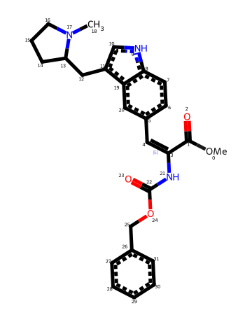 COC(=O)/C(=C\c1ccc2[nH]cc(CC3CCCN3C)c2c1)NC(=O)OCc1ccccc1